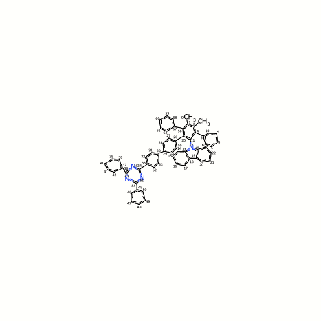 Cc1c(C)c(-c2ccccc2)c(-n2c3ccccc3c3ccccc32)c(-c2ccc(-c3ccc(-c4nc(-c5ccccc5)nc(-c5ccccc5)n4)cc3)cc2)c1-c1ccccc1